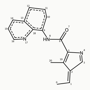 CC=C1C=NC(C(=O)Nc2cccc3cccnc23)=C1C